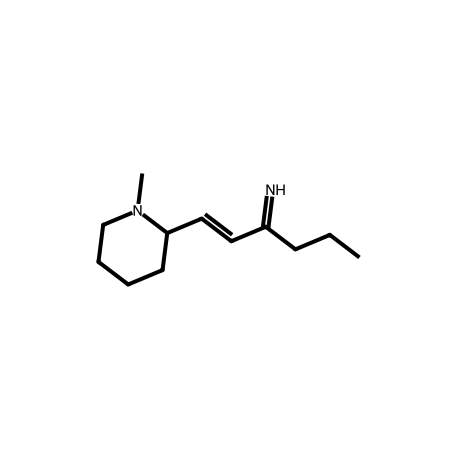 CCCC(=N)C=CC1CCCCN1C